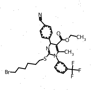 CCOC(=O)C1=C(C)N(c2cccc(C(F)(F)F)c2)C(SCCCCCCBr)=NC1c1ccc(C#N)cc1